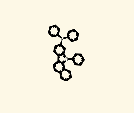 c1ccc(N(c2ccccc2)c2ccc3c4ccc5ccccc5c4n(-c4ccccc4)c3c2)cc1